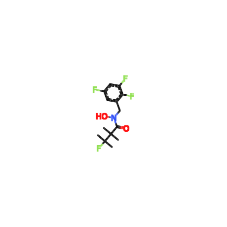 CC(C)(F)C(C)(C)C(=O)N(O)Cc1cc(F)cc(F)c1F